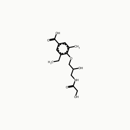 CCc1cc(C(=O)O)cc(C)c1OCC(O)CNC(=O)CO